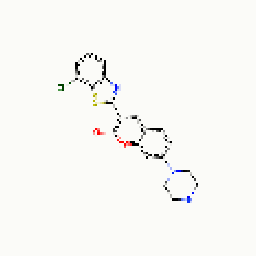 O=c1oc2cc(N3CCNCC3)ccc2cc1-c1nc2cccc(Cl)c2s1